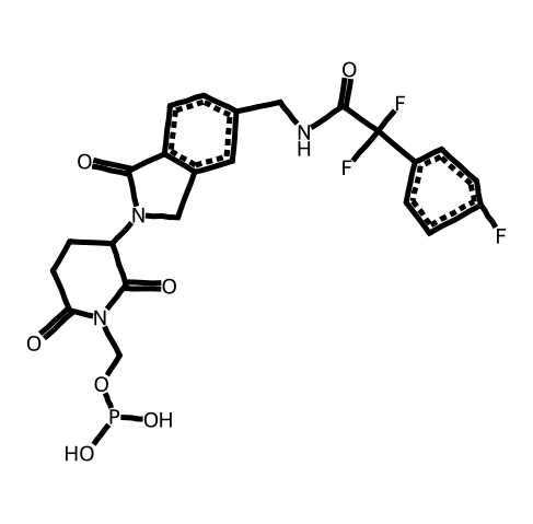 O=C1CCC(N2Cc3cc(CNC(=O)C(F)(F)c4ccc(F)cc4)ccc3C2=O)C(=O)N1COP(O)O